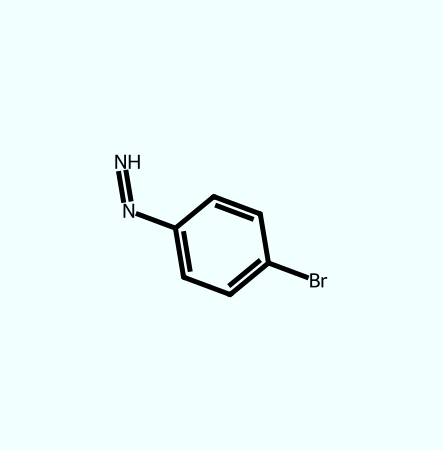 N=Nc1ccc(Br)cc1